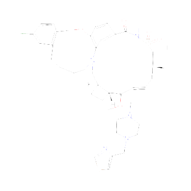 CO[C@]1(CN2CCN(Cc3cscn3)CC2)/C=C/C[C@H](C)[C@@H](C)S(=O)(=O)NC(=O)c2ccc3c(c2)N(CCCCc2cc(Cl)ccc2CO3)C[C@@H]2CC[C@H]21